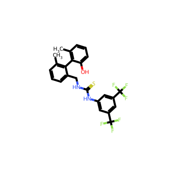 Cc1cccc(O)c1-c1c(C)cccc1CNC(=S)Nc1cc(C(F)(F)F)cc(C(F)(F)F)c1